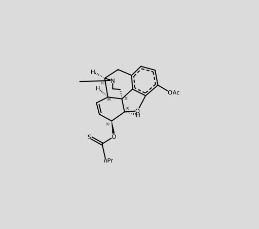 CCCC(=S)O[C@H]1C=C[C@H]2[C@H]3Cc4ccc(OC(C)=O)c5c4[C@@]2(CCN3C)[C@H]1O5